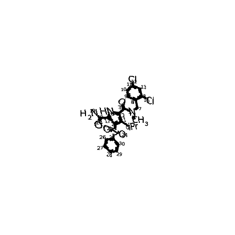 CC(C)c1c(C(=O)N(C)Cc2ccc(Cl)cc2Cl)[nH]c(C(N)=O)c1S(=O)(=O)c1ccccc1